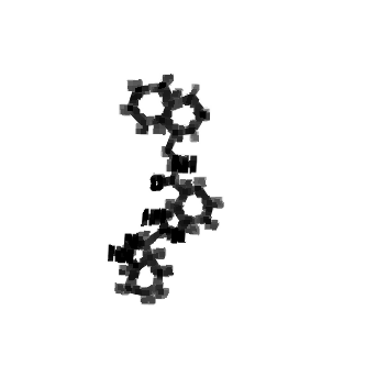 O=C(NCc1cccc2ccccc12)c1cccc2nc(-c3n[nH]c4ccccc34)[nH]c12